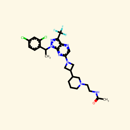 CC(=O)NCCN1CCCC(C2CN(c3cnc4c(C(F)(F)F)nn(C(C)c5ccc(Cl)cc5Cl)c4n3)C2)C1